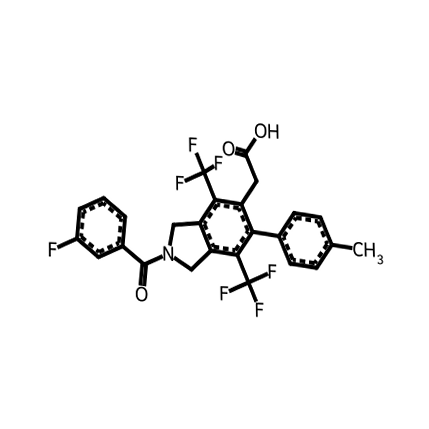 Cc1ccc(-c2c(CC(=O)O)c(C(F)(F)F)c3c(c2C(F)(F)F)CN(C(=O)c2cccc(F)c2)C3)cc1